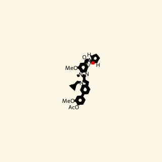 COc1cc(-c2ccc3cc(-c4nc5cc(C(=O)N6C[C@H]7CC[C@@H]6[C@@H]7N)cc(OC)c5n4C)n(CC4CC4)c3c2)ccc1OC(C)=O